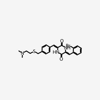 CN(C)CCSCc1ccc(/C=c2\[nH]c(=O)/c(=C/c3ccccc3Br)[nH]c2=O)cc1